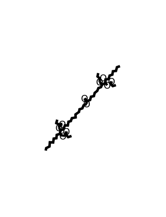 CCCCCCCCC(OC(=O)CC)C(CCCCCCCCCCCCOC(=O)CCCCCCCC(OC(=O)CC)C(CCCCCCCC)OC(=O)CC)OC(=O)CC